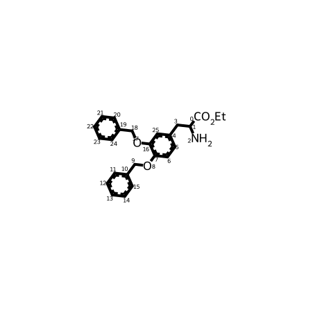 CCOC(=O)C(N)Cc1ccc(OCc2ccccc2)c(OCc2ccccc2)c1